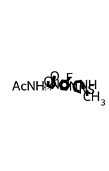 CC(=O)NC[C@H]1CN(c2ccc(N3CCNN(C(C)=S)CC3)c(F)c2)C(=O)O1